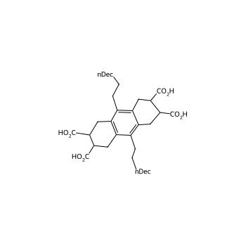 CCCCCCCCCCCCc1c2c(c(CCCCCCCCCCCC)c3c1CC(C(=O)O)C(C(=O)O)C3)CC(C(=O)O)C(C(=O)O)C2